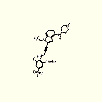 COc1cc(S(C)(=O)=O)cc(F)c1NCC#Cc1cc2c(NC3CCN(C)CC3)cccc2n1CC(F)(F)F